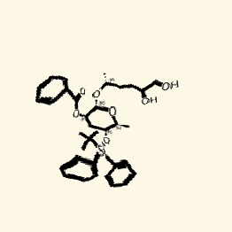 C[C@H](CCC(O)CO)O[C@@H]1O[C@@H](C)[C@H](O[Si](c2ccccc2)(c2ccccc2)C(C)(C)C)C[C@H]1OC(=O)c1ccccc1